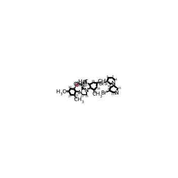 Brc1cccnc1.Brc1cccnc1.Cc1cc(C)c(N2CCN(c3c(C)cc(C)cc3C)[C]2=[Ru]([Cl])[Cl])c(C)c1